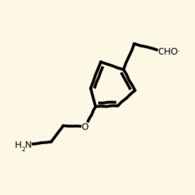 NCCOc1ccc(C[C]=O)cc1